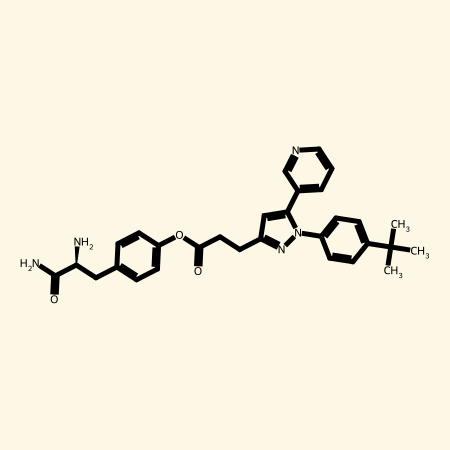 CC(C)(C)c1ccc(-n2nc(CCC(=O)Oc3ccc(C[C@H](N)C(N)=O)cc3)cc2-c2cccnc2)cc1